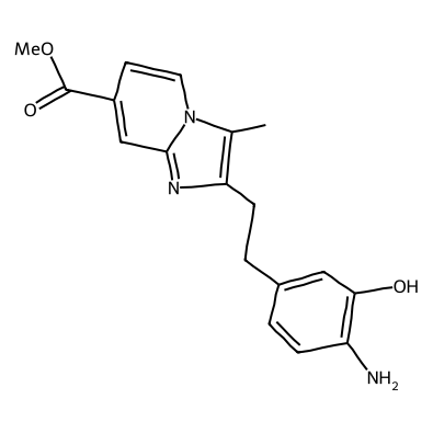 COC(=O)c1ccn2c(C)c(CCc3ccc(N)c(O)c3)nc2c1